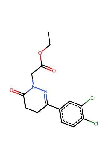 CCOC(=O)CN1N=C(c2ccc(Cl)c(Cl)c2)CCC1=O